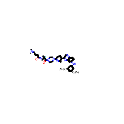 COc1cc(Nc2ccc3ncc(-c4ccc(N5CCN(C(=O)C6(F)CN(C(=O)/C=C/CN(C)C)C6)CC5)nc4C)nc3c2)cc(OC)c1